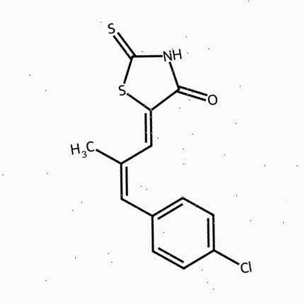 CC(=Cc1ccc(Cl)cc1)C=C1SC(=S)NC1=O